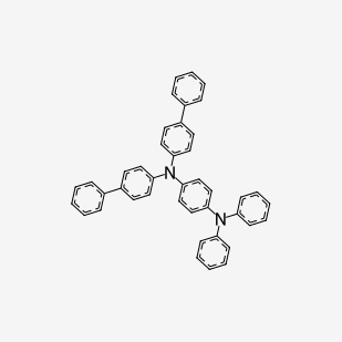 c1ccc(-c2ccc(N(c3ccc(-c4ccccc4)cc3)c3ccc(N(c4ccccc4)c4ccccc4)cc3)cc2)cc1